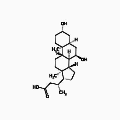 C[C@H](CC(=O)O)[C@H]1CC[C@H]2[C@@H]3[C@H](O)C[C@@H]4C[C@@H](O)CC[C@]4(C)[C@H]3CC[C@]12C